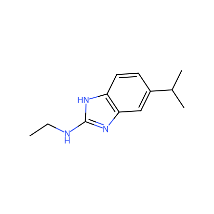 CCNc1nc2cc(C(C)C)ccc2[nH]1